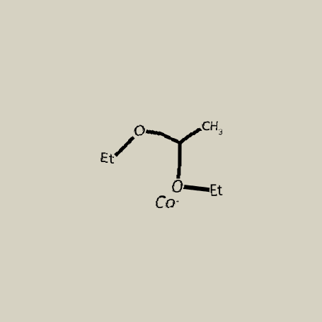 CCOC(C)OCC.[Co]